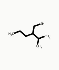 CCCC(CS)C(C)C